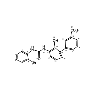 O=C(Nc1ccccc1Br)Nc1cccc(-c2cccc(C(=O)O)c2)c1O